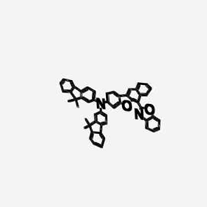 CC1(C)c2ccccc2-c2ccc(N(c3ccc4c(c3)C(C)(C)c3ccccc3-4)c3ccc4c(c3)oc3c(-c5nc6ccccc6o5)c5ccccc5cc34)cc21